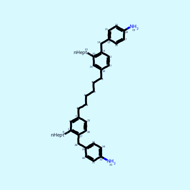 CCCCCCCc1cc(CCCCCCc2ccc(Cc3ccc(N)cc3)c(CCCCCCC)c2)ccc1Cc1ccc(N)cc1